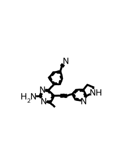 Cc1nc(N)nc(-c2ccc(C#N)cc2)c1C#Cc1cnc2c(c1)CCN2